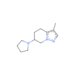 Cc1cnn2c1CCC(N1CCCC1)C2